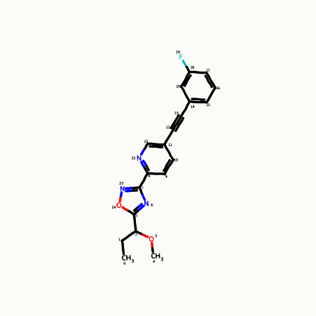 CCC(OC)c1nc(-c2ccc(C#Cc3cccc(F)c3)cn2)no1